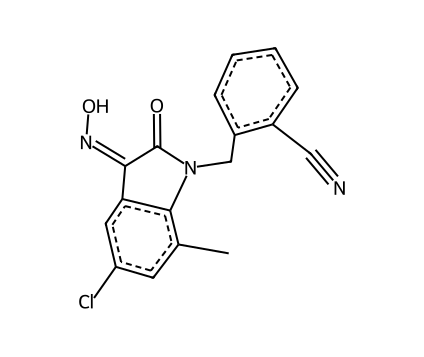 Cc1cc(Cl)cc2c1N(Cc1ccccc1C#N)C(=O)/C2=N\O